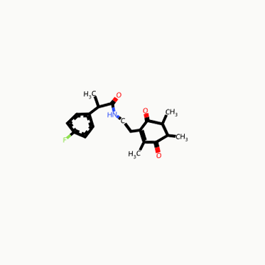 CC1=C(CCNC(=O)C(C)c2ccc(F)cc2)C(=O)C(C)C(C)C1=O